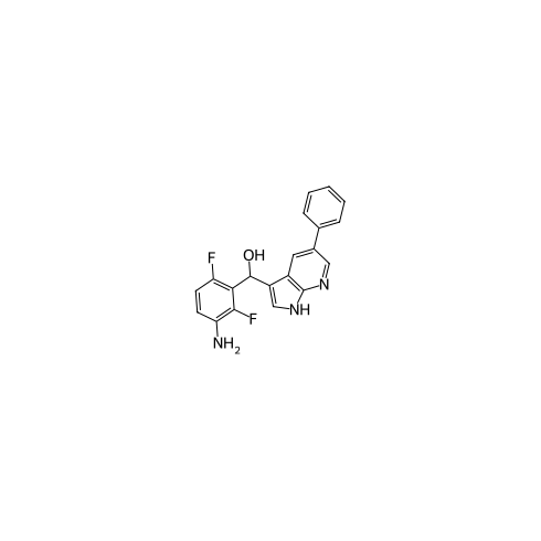 Nc1ccc(F)c(C(O)c2c[nH]c3ncc(-c4ccccc4)cc23)c1F